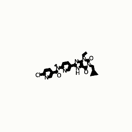 CCn1c(=O)n(CC2CC2)c(=O)c2[nH]c(-c3ccc(N(C)C(=O)c4ccc(Cl)nc4)nc3)nc21